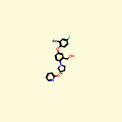 CC(=O)c1cc(F)ccc1Oc1ccc(N2CC[C@H](Oc3ccccn3)C2)c(CO)c1